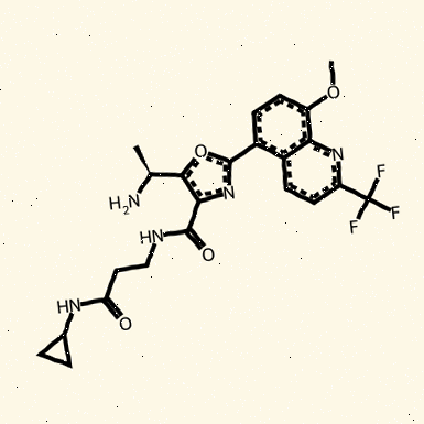 COc1ccc(-c2nc(C(=O)NCCC(=O)NC3CC3)c([C@H](C)N)o2)c2ccc(C(F)(F)F)nc12